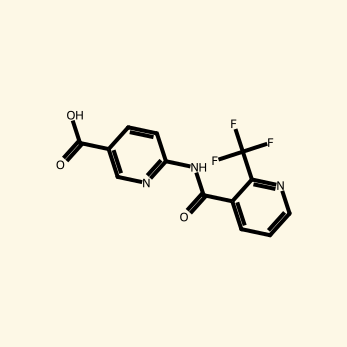 O=C(O)c1ccc(NC(=O)c2cccnc2C(F)(F)F)nc1